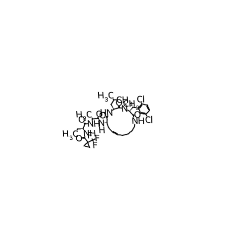 CC[C@H](NC(=O)C1(C(F)(F)F)CC1)C(=O)N[C@@H](C)C(=O)N[C@H]1CC=CCCCCNC(=O)[C@H](Cc2cc(Cl)ccc2Cl)N(C)C(=O)[C@H](CC(C)C)NC1=O